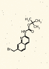 CC(C)(C)OC(=O)Nc1ccc2ccc(CBr)cc2n1